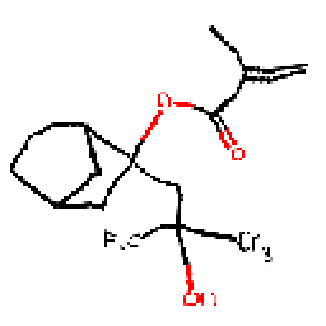 C=C(C)C(=O)OC1(CC(O)(C(F)(F)F)C(F)(F)F)CC2CCC1C2